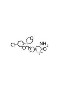 CC1(C)C[C@]2(C=C(N)C1=O)CCN(C(=O)C1(c3ccc(Cl)cc3)CCOCC1)C2